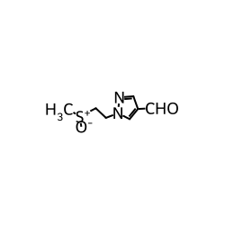 C[S+]([O-])CCn1cc(C=O)cn1